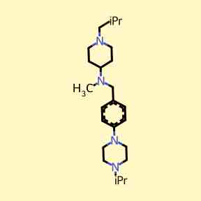 CC(C)CN1CCC(N(C)Cc2ccc(N3CCN(C(C)C)CC3)cc2)CC1